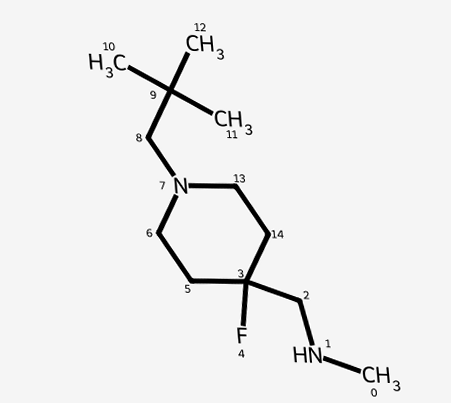 CNCC1(F)CCN(CC(C)(C)C)CC1